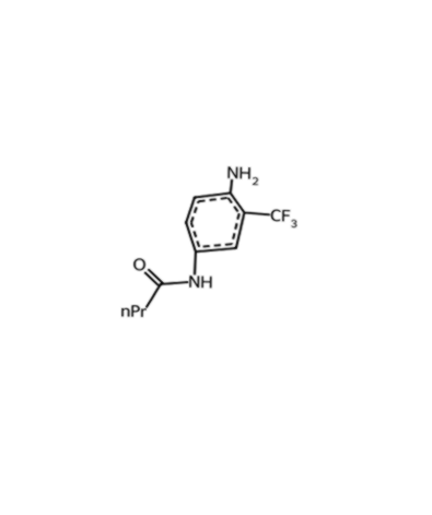 CCCC(=O)Nc1ccc(N)c(C(F)(F)F)c1